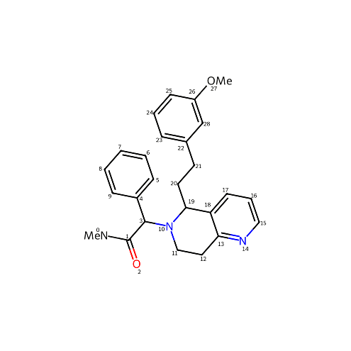 CNC(=O)C(c1ccccc1)N1CCc2ncccc2C1CCc1cccc(OC)c1